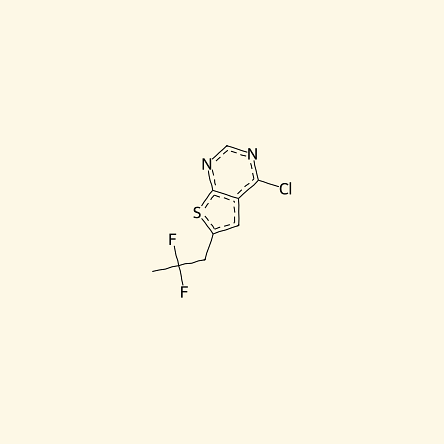 CC(F)(F)Cc1cc2c(Cl)ncnc2s1